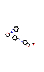 Cc1ccc2c(c1)nc([C@H]1CCCO1)n2-c1cccc(CNc2ccc3c(c2)OC[C@H]3CC(=O)O)c1C